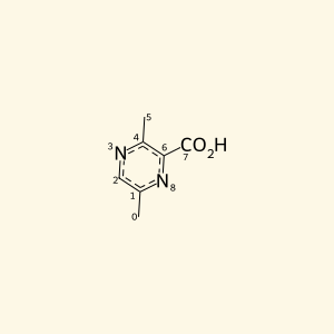 Cc1cnc(C)c(C(=O)O)n1